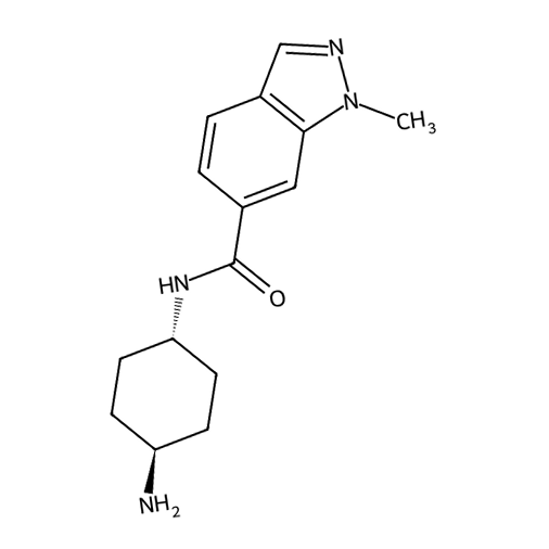 Cn1ncc2ccc(C(=O)N[C@H]3CC[C@H](N)CC3)cc21